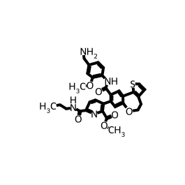 CCCNC(=O)c1ccc(-c2cc3c(cc2C(=O)Nc2ccc(CN)cc2OC)-c2sccc2CCO3)c(C(=O)OC)n1